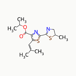 CC(C)=Cc1sc(C2=NCC(C)S2)nc1C(=O)OC(C)C